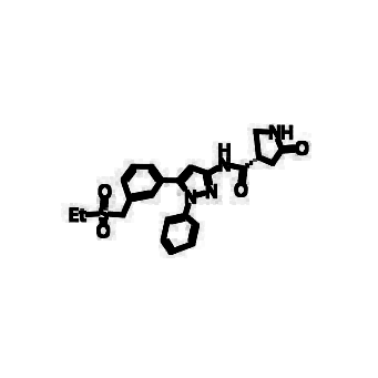 CCS(=O)(=O)Cc1cccc(-c2cc(NC(=O)[C@@H]3CNC(=O)C3)nn2-c2ccccc2)c1